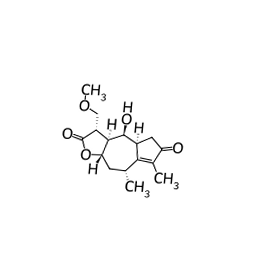 COC[C@H]1C(=O)O[C@H]2C[C@@H](C)C3=C(C)C(=O)C[C@@H]3[C@H](O)[C@@H]21